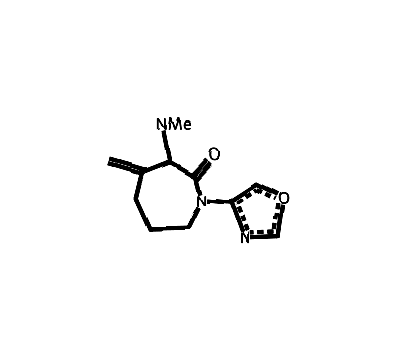 C=C1CCCN(c2cocn2)C(=O)C1NC